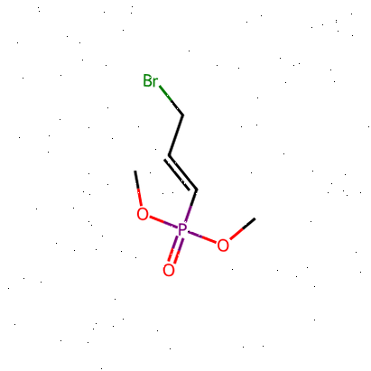 COP(=O)(C=CCBr)OC